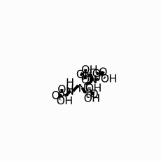 O=P(O)(O)CNCCN(CCN(CP(=O)(O)O)CP(=O)(O)O)CP(=O)(O)O